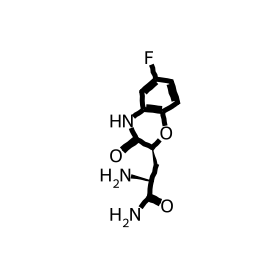 NC(=O)[C@@H](N)C[C@@H]1Oc2ccc(F)cc2NC1=O